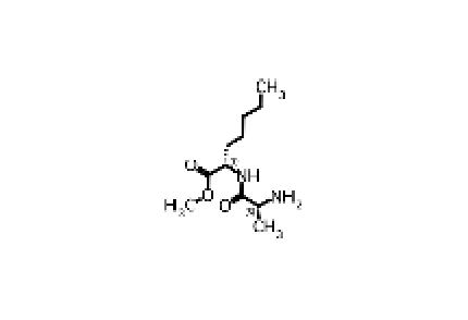 CCCCC[C@H](NC(=O)[C@H](C)N)C(=O)OC